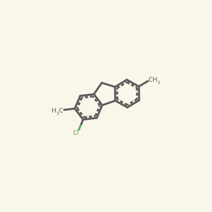 Cc1ccc2c(c1)Cc1cc(C)c(Cl)cc1-2